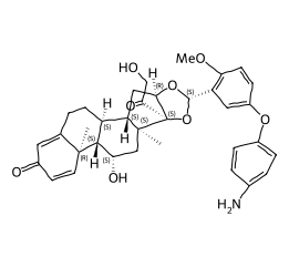 COc1ccc(Oc2ccc(N)cc2)cc1[C@H]1O[C@@H]2C[C@H]3[C@@H]4CCC5=CC(=O)C=C[C@]5(C)[C@H]4[C@@H](O)C[C@]3(C)[C@]2(C(=O)CO)O1